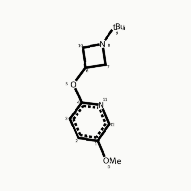 COc1ccc(OC2CN(C(C)(C)C)C2)nc1